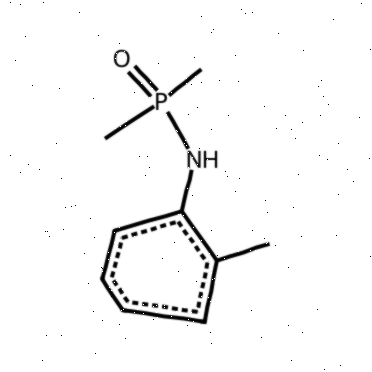 Cc1ccccc1NP(C)(C)=O